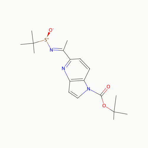 CC(=N[S@+]([O-])C(C)(C)C)c1ccc2c(ccn2C(=O)OC(C)(C)C)n1